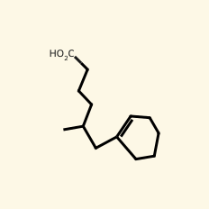 CC(CCCC(=O)O)CC1=CCCCC1